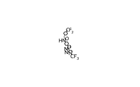 O=C(Cc1ccc(C(F)(F)F)cc1)Nc1ccc(Oc2ncnc3c2ccn3CC(F)(F)F)cc1